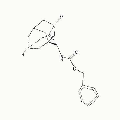 O=C(NC[C@]12CC3C[C@H](C1)C(=O)[C@@H](C3)C2)OCc1ccccc1